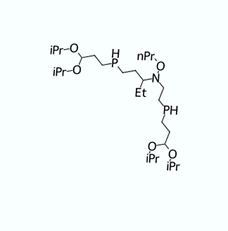 CCCON(CCPCCC(OC(C)C)OC(C)C)C(CC)CCPCCC(OC(C)C)OC(C)C